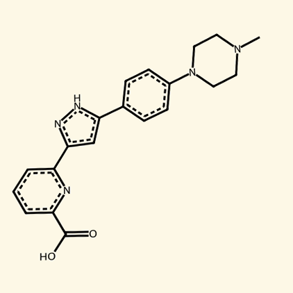 CN1CCN(c2ccc(-c3cc(-c4cccc(C(=O)O)n4)n[nH]3)cc2)CC1